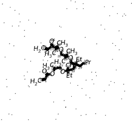 C=CC(=O)OC(C)COC(C)(CC)CC(CC)(COC(C)(C)COC(C)(C)C(=O)C=C)CC(C)C